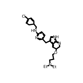 CCN(CC)CCCOC1C=c2c(Cc3ccc(NCC4C=CC(Cl)=CC4)nc3)c[nH]c2=NC1